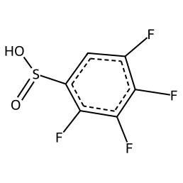 O=S(O)c1cc(F)c(F)c(F)c1F